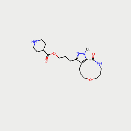 CCn1nc(CCCOC(=O)C2CCNCC2)c2c1C(=O)NCCCOCCC2